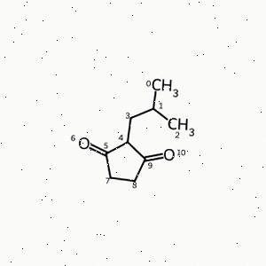 CC(C)CC1C(=O)CCC1=O